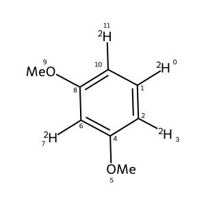 [2H]c1c([2H])c(OC)c([2H])c(OC)c1[2H]